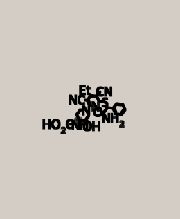 CCc1c(C#N)c(SC(C(N)=O)c2ccccc2)nc(N2CC[C@@H](NC(=O)O)[C@H](O)C2)c1C#N